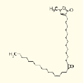 CCCCCCCCCCCC/C=C\CCC1OC1CCCCCCCCCCCCC1=CC(C)OC1=O